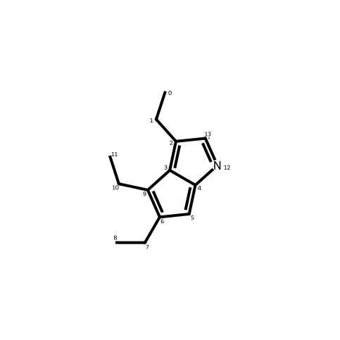 CCC1=C2C(=CC(CC)=C2CC)N=[C]1